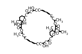 C=C1OC2C(=O)OC(C)CC/C=C\C=C\CCC(O)CC(=O)CC3CCC(C)C(O)(O3)C(O)C(=O)OC(C)CC/C=C\C=C\CCC(O)CC(=O)CC3CCC(C)C2(O1)O3